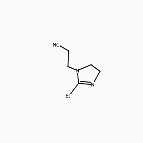 CCC1=NCCN1CCC#N